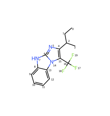 CCC(C)c1nc2[nH]c3ccccc3n2c1C(F)(F)F